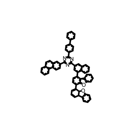 C1=CC2c3ccccc3OC2C(c2ccc(-c3cc(-c4nc(-c5ccc(-c6ccccc6)cc5)nc(-c5ccc6c(ccc7ccccc76)c5)n4)cc4ccccc34)c3c2oc2ccccc23)=C1